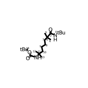 CC(C)(C)NC(=O)C(C)(C)CCCCC(C)(C)NC(=O)OC(C)(C)C